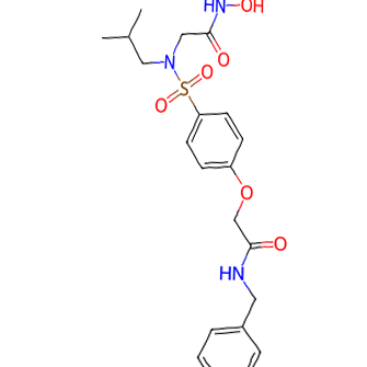 CC(C)CN(CC(=O)NO)S(=O)(=O)c1ccc(OCC(=O)NCc2ccccc2)cc1